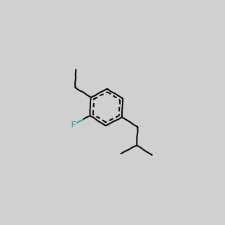 CCc1ccc(CC(C)C)cc1F